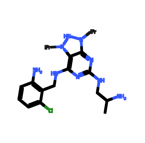 CC(N)CNc1nc(NCc2c(N)cccc2Cl)c2c(n1)N(C(C)C)NN2C(C)C